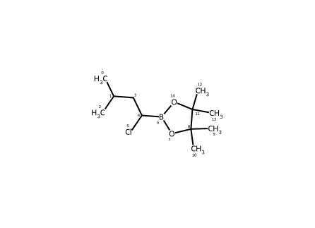 CC(C)CC(Cl)B1OC(C)(C)C(C)(C)O1